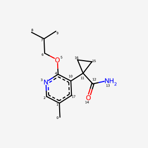 Cc1cnc(OCC(C)C)c(C2(C(N)=O)CC2)c1